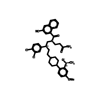 COc1ccc(C2CCN(CC[C@H](CN(CCC(N)=O)C(=O)c3cc(C#N)cc4ccccc34)c3ccc(Cl)c(Cl)c3)CC2)c([S@+](C)[O-])c1